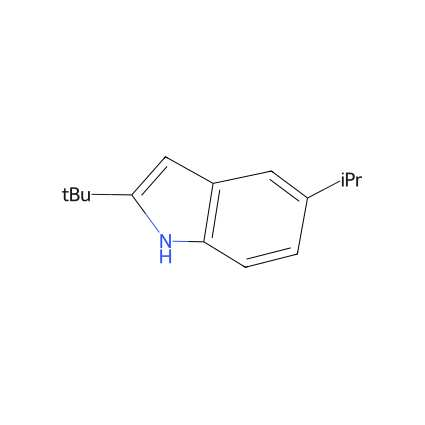 CC(C)c1ccc2[nH]c(C(C)(C)C)cc2c1